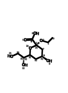 CCO[C@]1(C(=O)O)C[C@@H](O)CC([C@H](O)CO)O1